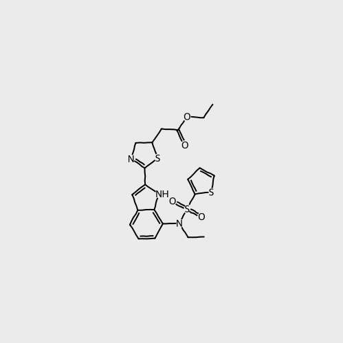 CCOC(=O)CC1CN=C(c2cc3cccc(N(CC)S(=O)(=O)c4cccs4)c3[nH]2)S1